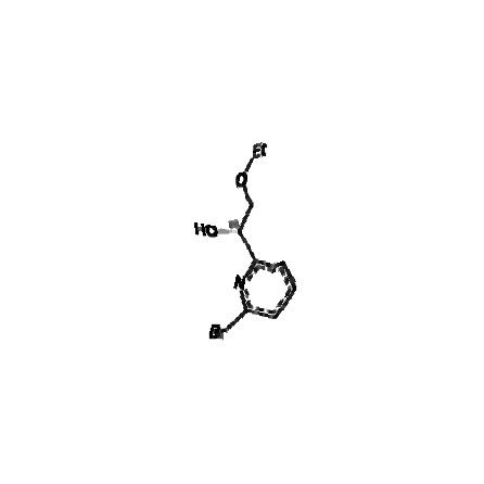 CCOC[C@@H](O)c1cccc(Br)n1